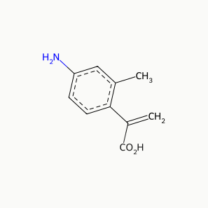 C=C(C(=O)O)c1ccc(N)cc1C